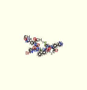 COc1ncc(-c2ccc3c(c2)c(C(C)=O)cn3CC(=O)N2C[C@H](Cc3ccccc3-c3cccc(NC(=O)[C@@H]4C[C@@H](F)CN4C(=O)Cn4cc(C(C)=O)c5cc(-c6ccnnc6)ccc54)c3F)C[C@H]2C(=O)Nc2cccc(Br)n2)cn1